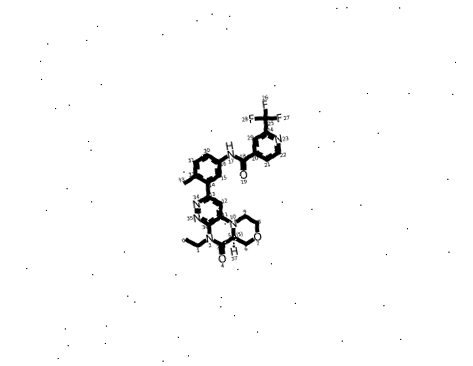 CCN1C(=O)[C@@H]2COCCN2c2cc(-c3cc(NC(=O)c4ccnc(C(F)(F)F)c4)ccc3C)nnc21